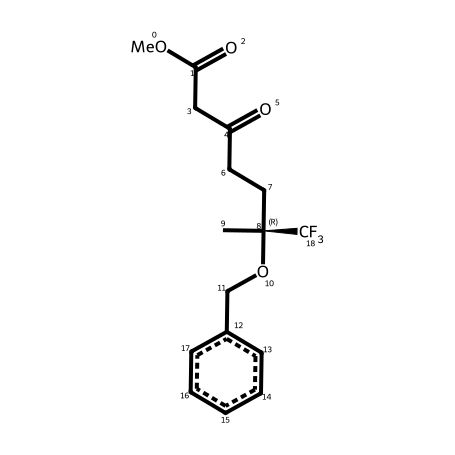 COC(=O)CC(=O)CC[C@@](C)(OCc1ccccc1)C(F)(F)F